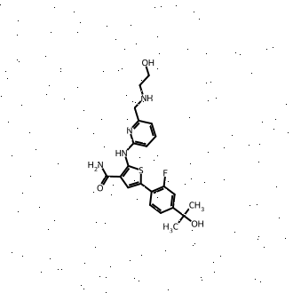 CC(C)(O)c1ccc(-c2cc(C(N)=O)c(Nc3cccc(CNCCO)n3)s2)c(F)c1